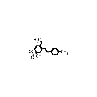 C=CC1=C(C=Cc2ccc(C)cc2)CC(C)([N+](=O)[O-])C=C1